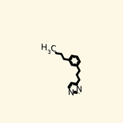 CCCCc1cccc(CCCc2ccn[c]n2)c1